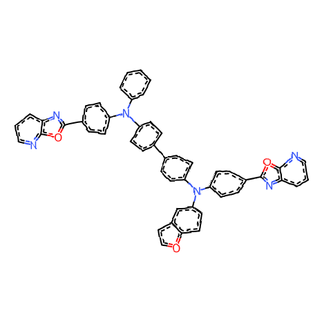 c1ccc(N(c2ccc(-c3ccc(N(c4ccc(-c5nc6cccnc6o5)cc4)c4ccc5occc5c4)cc3)cc2)c2ccc(-c3nc4cccnc4o3)cc2)cc1